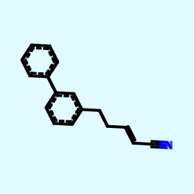 N#C/C=C/CCc1cccc(-c2ccccc2)c1